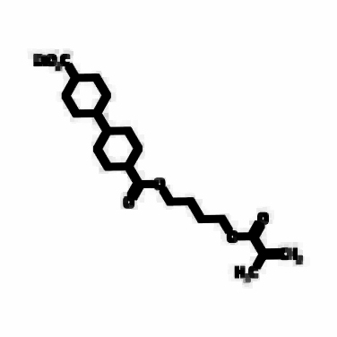 C=C(C)C(=O)OCCCCOC(=O)C1CCC(C2CCC(C(=O)OCC)CC2)CC1